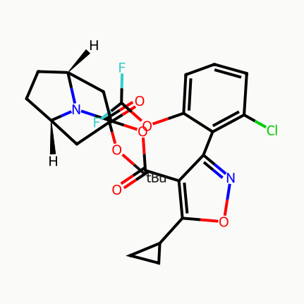 CC(C)(C)OC(=O)N1[C@@H]2CC[C@H]1CC(OC(=O)c1c(-c3c(Cl)cccc3OC(F)F)noc1C1CC1)C2